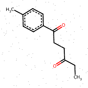 CCC(=O)CCC(=O)c1ccc(C)cc1